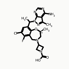 Cc1nn(C(C)c2cc(Cl)c(F)c3c2O[C@@H](C)CN(C2CN(C(=O)O)C2)C3)c2ncnc(N)c12